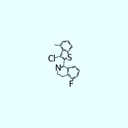 Cc1cccc2sc(C3=NCCc4c(F)cccc43)c(Cl)c12